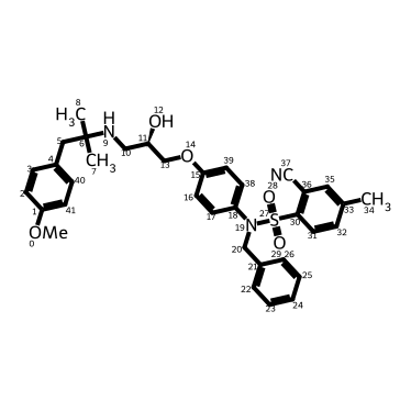 COc1ccc(CC(C)(C)NC[C@@H](O)COc2ccc(N(Cc3ccccc3)S(=O)(=O)c3ccc(C)cc3C#N)cc2)cc1